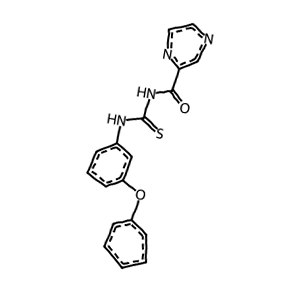 O=C(NC(=S)Nc1cccc(Oc2ccccc2)c1)c1cnccn1